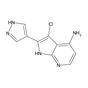 Nc1ccnc2[nH]c(-c3cn[nH]c3)c(Cl)c12